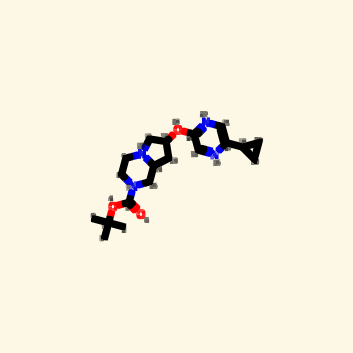 CC(C)(C)OC(=O)N1CCN2CC(Oc3cnc(C4CC4)cn3)CC2C1